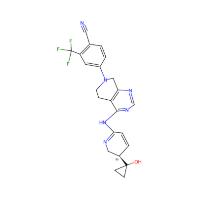 N#Cc1ccc(N2CCc3c(ncnc3NC3=NC[C@H](C4(O)CC4)C=C3)C2)cc1C(F)(F)F